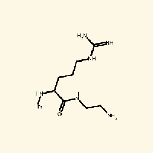 CC(C)NC(CCCNC(=N)N)C(=O)NCCN